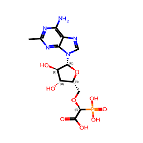 Cc1nc(N)c2ncn([C@@H]3O[C@H](CO[C@H](C(=O)O)P(=O)(O)O)[C@H](O)[C@H]3O)c2n1